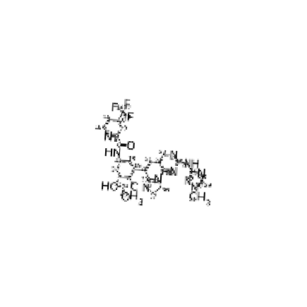 Cc1ccc(NC(=O)c2cc(C(F)(F)F)ccn2)cc1C1=Cc2cnc(Nc3ncn(C)n3)nc2N2CCN=C12.O=CO